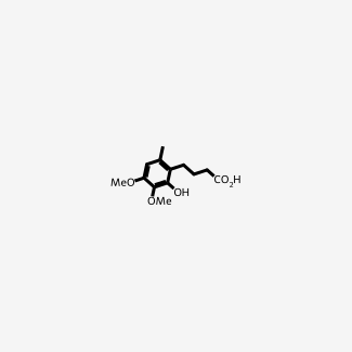 COc1cc(C)c(CCCC(=O)O)c(O)c1OC